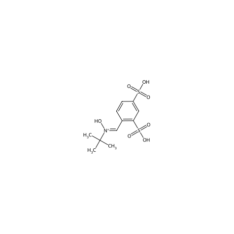 CC(C)(C)[N+](O)=Cc1ccc(S(=O)(=O)O)cc1S(=O)(=O)O